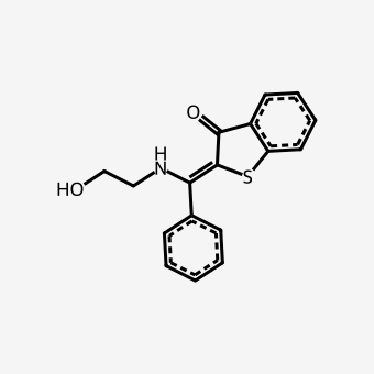 O=C1/C(=C(\NCCO)c2ccccc2)Sc2ccccc21